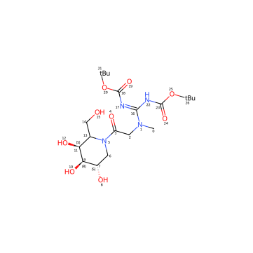 CN(CC(=O)N1C[C@H](O)[C@@H](O)[C@@H](O)C1CO)C(=NC(=O)OC(C)(C)C)NC(=O)OC(C)(C)C